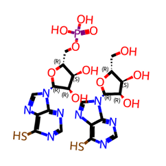 O=P(O)(O)OC[C@H]1O[C@@H](n2cnc3c(S)ncnc32)[C@H](O)[C@@H]1O.OC[C@H]1O[C@@H](n2cnc3c(S)ncnc32)[C@H](O)[C@@H]1O